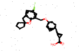 O=C(O)C1CC1c1ccc(OCc2cc(F)cc3c2OC2(CCCC2)C3)cc1